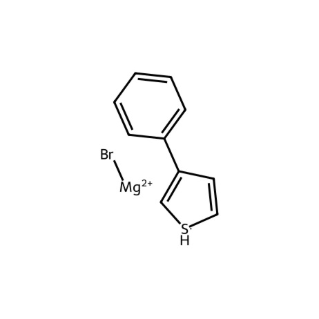 C1=CC(c2ccccc2)=C[SH]1.[Mg+2][Br]